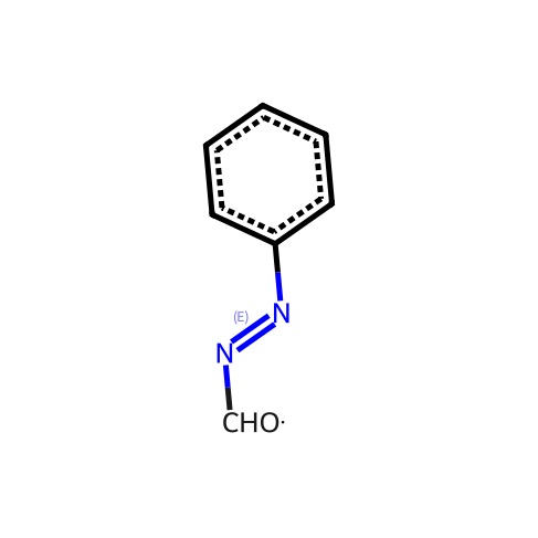 O=[C]/N=N/c1ccccc1